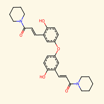 O=C(/C=C/c1cc(Oc2ccc(O)c(/C=C/C(=O)N3CCCCC3)c2)ccc1O)N1CCCCC1